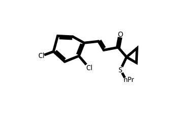 CCCSC1(C(=O)C=Cc2ccc(Cl)cc2Cl)CC1